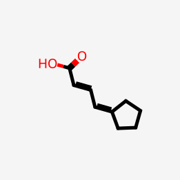 O=C(O)C=CC=C1CCCC1